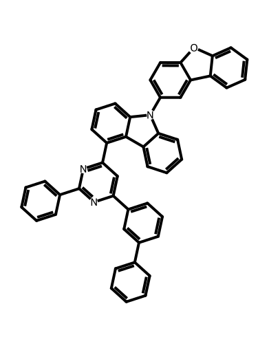 c1ccc(-c2cccc(-c3cc(-c4cccc5c4c4ccccc4n5-c4ccc5oc6ccccc6c5c4)nc(-c4ccccc4)n3)c2)cc1